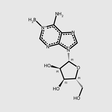 B[n+]1cnc2c(ncn2[C@@H]2O[C@H](CO)[C@@H](O)[C@H]2O)c1N